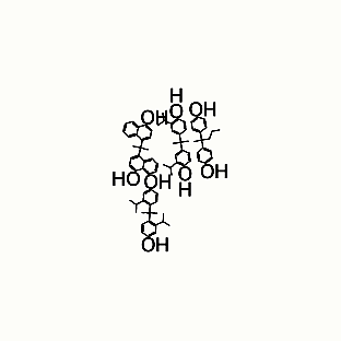 CC(C)(c1ccc(O)c2ccccc12)c1ccc(O)c2ccccc12.CC(C)c1cc(C(C)(C)c2ccc(O)c(C(C)C)c2)ccc1O.CC(C)c1cc(O)ccc1C(C)(C)c1ccc(O)cc1C(C)C.CCCC(C)(c1ccc(O)cc1)c1ccc(O)cc1